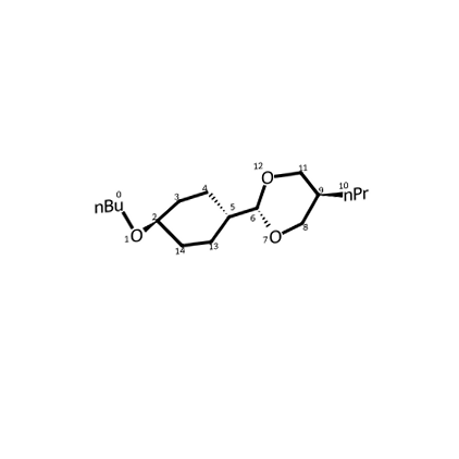 CCCCO[C@H]1CC[C@H]([C@H]2OC[C@H](CCC)CO2)CC1